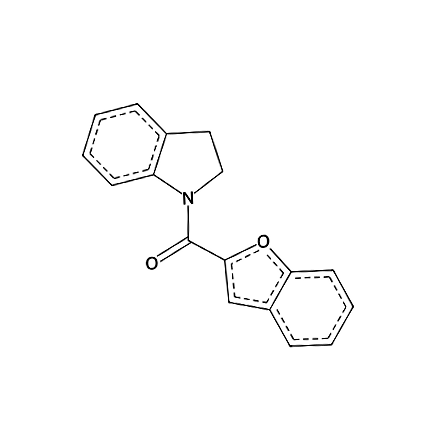 O=C(c1cc2ccccc2o1)N1CCc2ccccc21